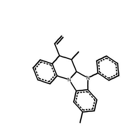 C=CC1c2ccccc2N2c3cc(C)ccc3N(c3ccccc3)C2C1C